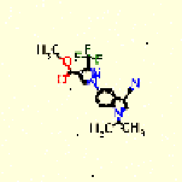 CCOC(=O)c1cn(-c2ccc3c(c2)c(C#N)cn3C(C)C)nc1C(F)(F)F